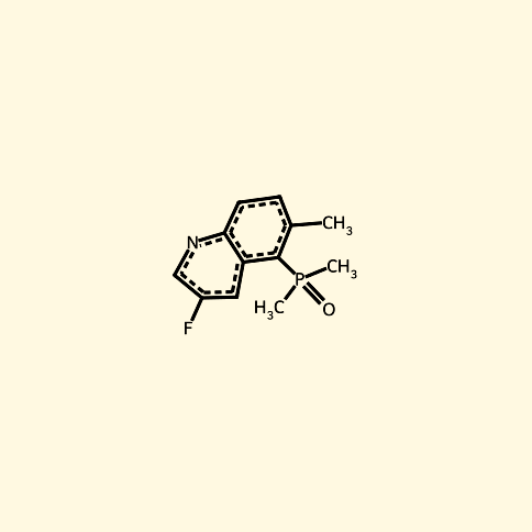 Cc1ccc2ncc(F)cc2c1P(C)(C)=O